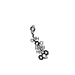 CN1CCN(CCCNC(=O)c2cnc(NNC(=S)NC3c4ccccc4CSc4ccccc43)c(Cl)c2)CC1